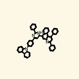 C1=CC2c3ccccc3N(c3ccc(C4=CC(c5cc6nc(-c7ccccc7)cc(-c7ccccc7)c6c6ccccc56)NC(c5ccccc5)=N4)cc3)C2C=C1